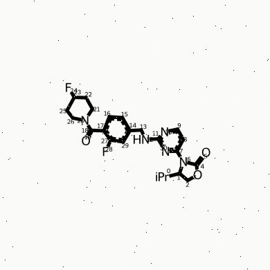 CC(C)C1COC(=O)N1c1ccnc(NCc2ccc(C(=O)N3CCC(F)CC3)c(F)c2)n1